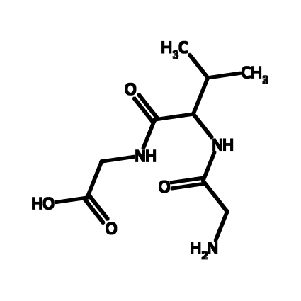 CC(C)C(NC(=O)CN)C(=O)NCC(=O)O